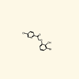 O=C(COc1cccc(Br)c1O)c1ccc(Cl)cn1